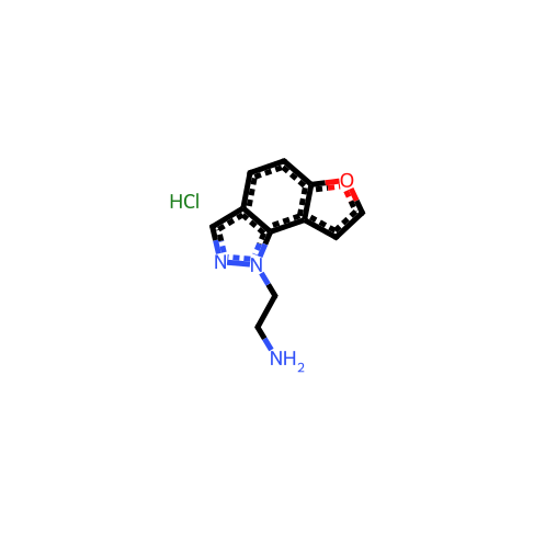 Cl.NCCn1ncc2ccc3occc3c21